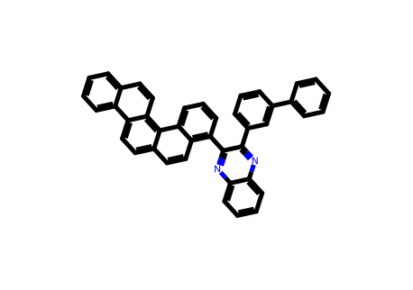 c1ccc(-c2cccc(-c3nc4ccccc4nc3-c3cccc4c3ccc3ccc5c6ccccc6ccc5c34)c2)cc1